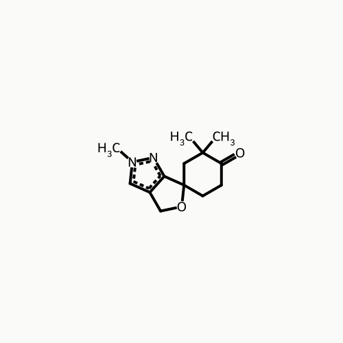 Cn1cc2c(n1)C1(CCC(=O)C(C)(C)C1)OC2